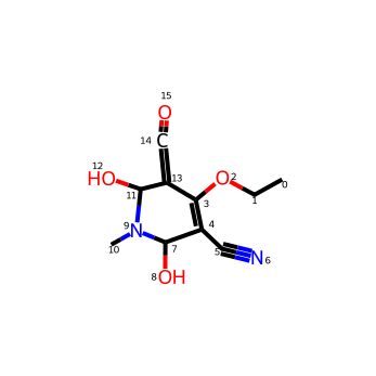 CCOC1=C(C#N)C(O)N(C)C(O)C1=C=O